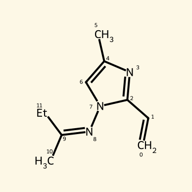 C=Cc1nc(C)cn1/N=C(/C)CC